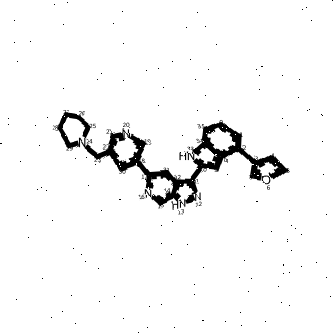 c1cc(-c2ccoc2)c2cc(-c3n[nH]c4cnc(-c5cncc(CN6CCCCC6)c5)cc34)[nH]c2c1